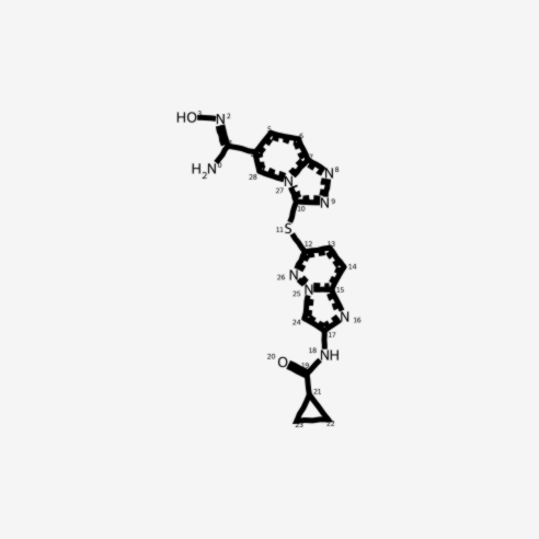 N/C(=N\O)c1ccc2nnc(Sc3ccc4nc(NC(=O)C5CC5)cn4n3)n2c1